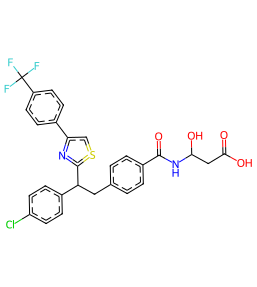 O=C(O)CC(O)NC(=O)c1ccc(CC(c2ccc(Cl)cc2)c2nc(-c3ccc(C(F)(F)F)cc3)cs2)cc1